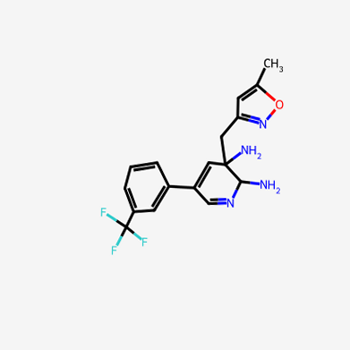 Cc1cc(CC2(N)C=C(c3cccc(C(F)(F)F)c3)C=NC2N)no1